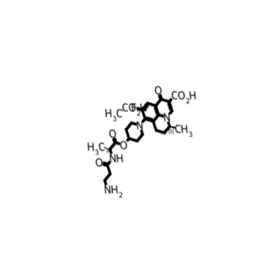 CC(=O)O.C[C@@H](NC(=O)CCN)C(=O)OC1CCN(c2c(F)cc3c(=O)c(C(=O)O)cn4c3c2CC[C@@H]4C)CC1